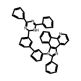 c1ccc(C2=NC(c3cccc(-c4cccc(-n5c(-c6ccccc6)nc6c7cccnc7c7ccccc7c65)c4)c3)NC(c3ccccc3)=N2)cc1